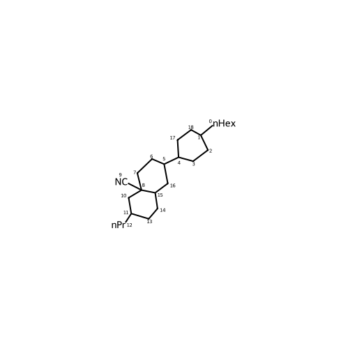 CCCCCCC1CCC(C2CCC3(C#N)CC(CCC)CCC3C2)CC1